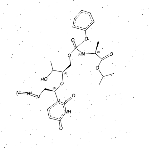 CC(C)OC(=O)[C@H](C)NP(=O)(OC[C@@H](O[C@H](CN=[N+]=[N-])n1ccc(=O)[nH]c1=O)C(C)O)Oc1ccccc1